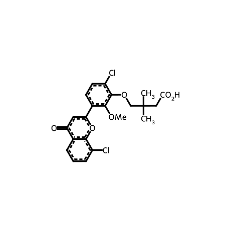 COc1c(-c2cc(=O)c3cccc(Cl)c3o2)ccc(Cl)c1OCC(C)(C)CC(=O)O